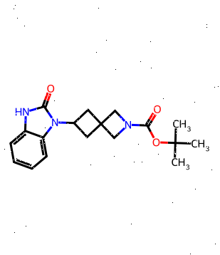 CC(C)(C)OC(=O)N1CC2(CC(n3c(=O)[nH]c4ccccc43)C2)C1